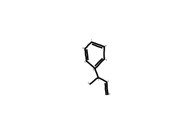 C=CC(C)c1[c]cc[c]c1